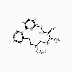 CCOC(=O)C(CCc1ccccc1)CNC(C)C(=O)OCc1ccccc1